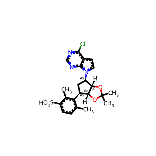 Cc1ccc(S(=O)(=O)O)c(C)c1[C@H]1C[C@@H](n2ccc3c(Cl)ncnc32)[C@@H]2OC(C)(C)O[C@@H]21